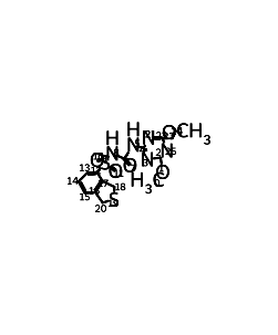 COc1nc(NC(=O)NS(=O)(=O)c2cccc3c2CSC3)nc(OC)n1